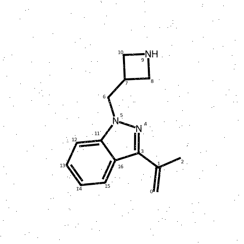 C=C(C)c1nn(CC2CNC2)c2ccccc12